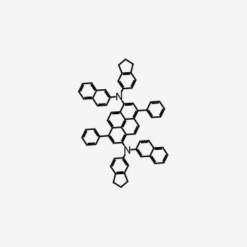 c1ccc(-c2cc(N(c3ccc4c(c3)CCC4)c3ccc4ccccc4c3)c3ccc4c(-c5ccccc5)cc(N(c5ccc6c(c5)CCC6)c5ccc6ccccc6c5)c5ccc2c3c45)cc1